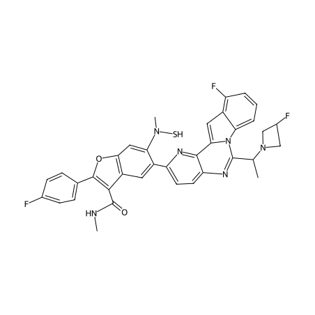 CNC(=O)c1c(-c2ccc(F)cc2)oc2cc(N(C)S)c(-c3ccc4nc(C(C)N5CC(F)C5)n5c6cccc(F)c6cc5c4n3)cc12